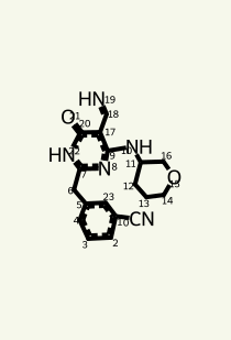 N#Cc1cccc(Cc2nc(NC3CCCOC3)c(C=N)c(=O)[nH]2)c1